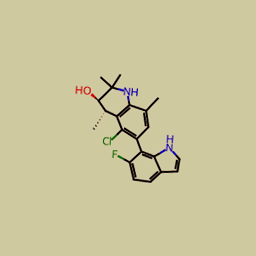 Cc1cc(-c2c(F)ccc3cc[nH]c23)c(Cl)c2c1NC(C)(C)[C@H](O)[C@H]2C